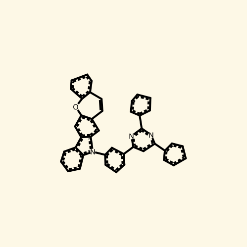 C1=Cc2cc3c(cc2Oc2ccccc21)c1ccccc1n3-c1cccc(-c2cc(-c3ccccc3)nc(-c3ccccc3)n2)c1